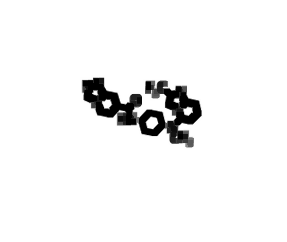 CN(c1cccc2nc(C(F)(F)F)cn12)[C@H]1CC[C@@H](NC(=O)c2ccn3cnnc3c2)CC1